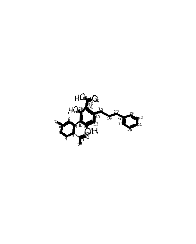 C=C(C)[C@@H]1CCC(C)=C[C@H]1c1c(O)cc(CCCc2ccccc2)c(C(=O)O)c1O